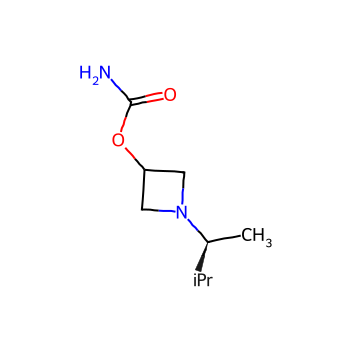 CC(C)[C@H](C)N1CC(OC(N)=O)C1